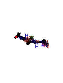 CCC12CC(C3=C(CN4CCN(c5ccc(C(=O)NS(=O)(=O)c6ccc(N[C@H](CCN7CCC(NC(=O)CCCCNc8cccc9c8C(=O)N(C8CCC(=O)NC8=O)C9=O)CC7)CSc7ccccc7)c(S(=O)(=O)C(F)(F)F)c6)cc5)CC4)CCC(C)(C)C3)(C1)C2